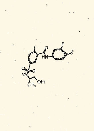 C[C@H](CO)NS(=O)(=O)c1ccc(F)c(C(=O)Nc2ccc(F)c(F)c2)c1